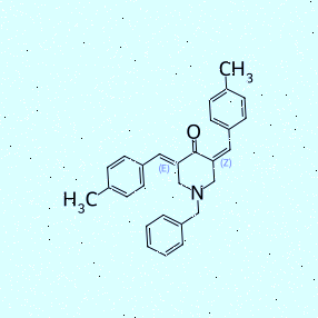 Cc1ccc(/C=C2/CN(Cc3ccccc3)C/C(=C\c3ccc(C)cc3)C2=O)cc1